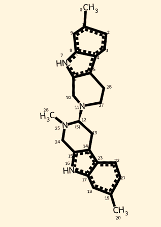 Cc1ccc2c3c([nH]c2c1)CN([C@H]1Cc2c([nH]c4cc(C)ccc24)CN1C)CC3